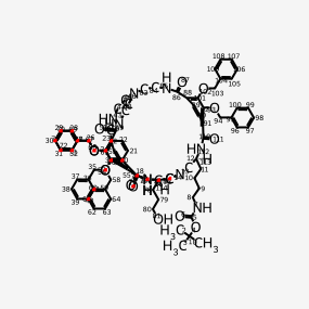 CC(C)(C)OC(=O)NCCCC[C@H]1CN2CCNC(=O)c3ccc(c(OCc4ccccc4)c3OCc3ccccc3)CNCCN(CCNC(=O)c3ccc(c(OCc4ccccc4)c3OCc3ccccc3)C(=O)N[C@@H](CCCO)C2)CCNC(=O)c2ccc(c(OCc3ccccc3)c2OCc2ccccc2)C(=O)N1